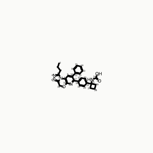 CCCc1nnc2n1-c1cc(-c3ccccc3)c(-c3ccc(C4(NC(=O)O)CCC4)cc3)nc1OC2